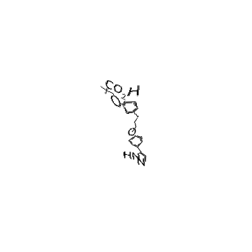 CC(C)(COc1cccc(CCCOc2ccc(-c3ccn[nH]3)cc2)c1)C(=O)O